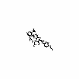 CCSc1ccc(CNc2nc3cnc(-c4c(C5CC5)ncnc4C4CC4)nc3n([C@H](C)CC)c2=O)cn1